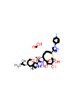 CC(C)C[C@@H]1CCO[C@@H]2[C@H](CN[C@@H]2C(=O)N[C@H]2[C@H]3O[C@H](S[C@H](c4cn(-c5ccc(F)cc5)nn4)C/C=C\[C@H]2C)[C@H](O)[C@@H](O)[C@H]3O)C1.O=CO